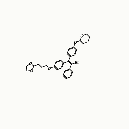 CCC(=C(c1ccc(OCCCC2OCCO2)cc1)c1ccc(OC2CCCCO2)cc1)c1ccccc1